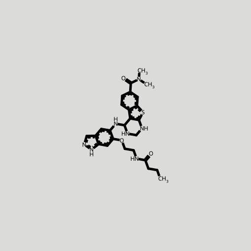 CCCC(=O)NCCOc1cc2[nH]ncc2cc1NC1NCNc2sc3cc(C(=O)N(C)C)ccc3c21